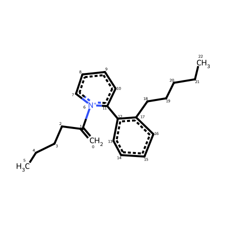 C=C(CCCC)[n+]1ccccc1-c1ccccc1CCCCC